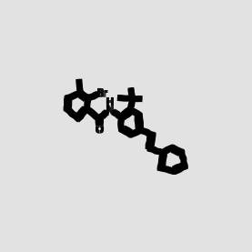 Cc1cccc(C(=O)Nc2ccc(C=Cc3ccccc3)cc2C(C)(C)C)c1Br